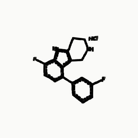 Cl.Fc1cccc(-c2ccc(F)c3[nH]c4c(c23)CNCC4)c1